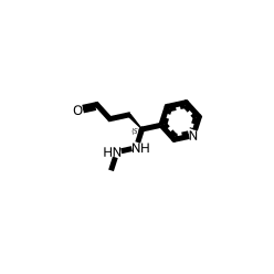 CNN[C@@H](CCC=O)c1cccnc1